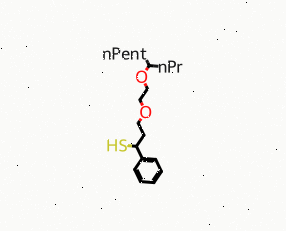 CCCCCC(CCC)OCCOCCC(S)c1ccccc1